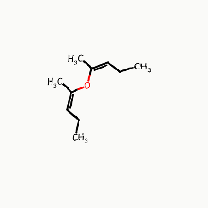 CC/C=C(/C)O/C(C)=C\CC